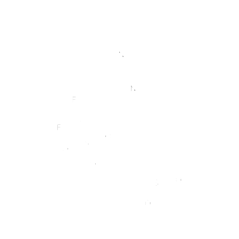 C[n+]1ccn(CCCC=S(=O)=O)c1.O=S(=O)([O-])C(F)(F)F